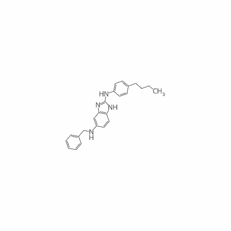 CCCCc1ccc(Nc2nc3cc(NCc4ccccc4)ccc3[nH]2)cc1